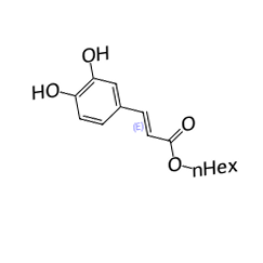 CCCCCCOC(=O)/C=C/c1ccc(O)c(O)c1